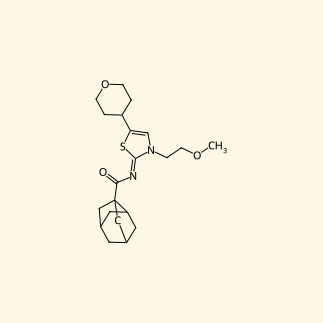 COCCn1cc(C2CCOCC2)sc1=NC(=O)C12CC3CC(CC1C3)C2